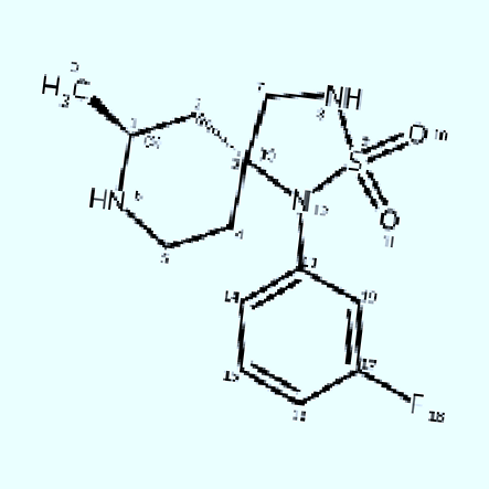 C[C@H]1C[C@]2(CCN1)CNS(=O)(=O)N2c1cccc(F)c1